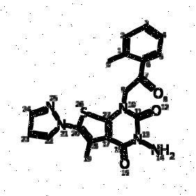 Cc1ccccc1C(=O)Cn1c(=O)n(N)c(=O)c2c(C)c(-n3cccn3)sc21